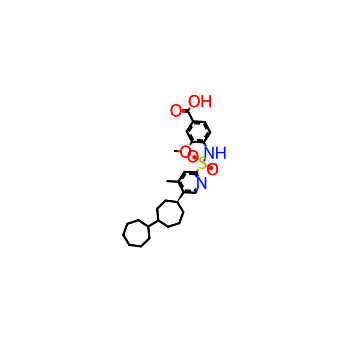 COc1cc(C(=O)O)ccc1NS(=O)(=O)c1cc(C)c([C@H]2CCCC(C3CCCCCC3)CC2)cn1